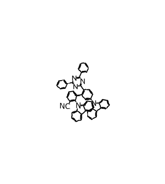 N#Cc1cccc(-c2cc(-n3c4ccccc4c4ccccc43)ccc2-c2nc(-c3ccccc3)nc(-c3ccccc3)n2)c1-n1c2ccccc2c2ccccc21